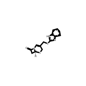 O=C1C[C@@H]2SCC(CSc3nc4ccccc4[nH]3)=CN12